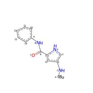 CC(C)(C)Nc1c[nH]c(C(=O)Nc2ccccc2)c1